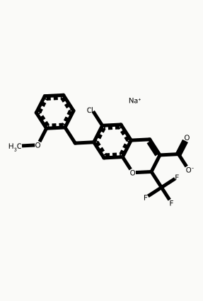 COc1ccccc1Cc1cc2c(cc1Cl)C=C(C(=O)[O-])C(C(F)(F)F)O2.[Na+]